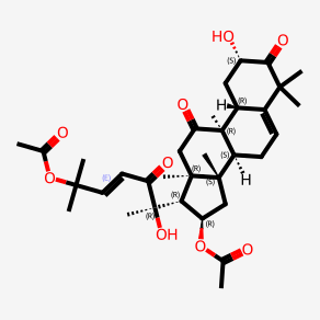 CC(=O)O[C@@H]1C[C@@]2(C)[C@@H]3CC=C4[C@@H](C[C@H](O)C(=O)C4(C)C)[C@]3(C)C(=O)C[C@]2(C)[C@H]1[C@@](C)(O)C(=O)/C=C/C(C)(C)OC(C)=O